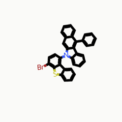 Brc1ccc(-n2c3ccccc3c3c(-c4ccccc4)c4ccccc4cc32)c2c1sc1ccccc12